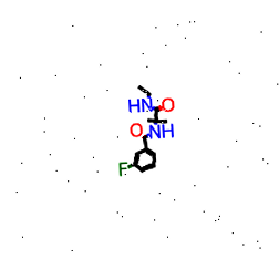 CCNC(=O)C(C)(C)NC(=O)c1cccc(F)c1